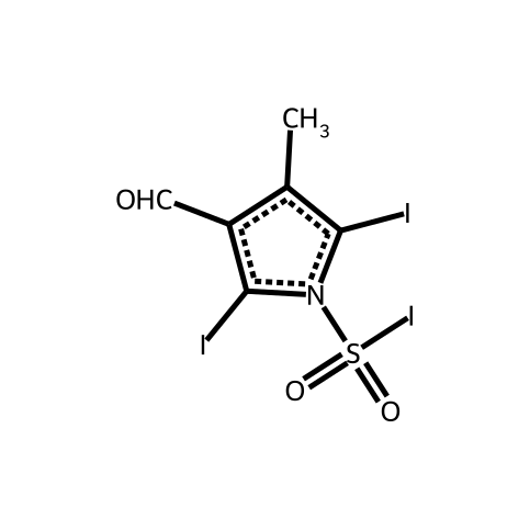 Cc1c(C=O)c(I)n(S(=O)(=O)I)c1I